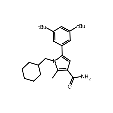 Cc1c(C(N)=O)cc(-c2cc(C(C)(C)C)cc(C(C)(C)C)c2)n1CC1CCCCC1